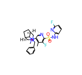 Cc1c(N(C)C2[C@@H]3CC[C@H]2CN(Cc2ccccc2)C3)cnc(S(=O)(=O)Nc2cccc(F)n2)c1F